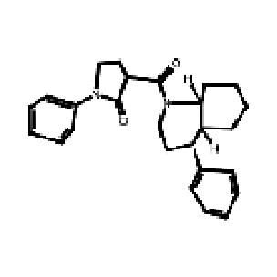 O=C1C(C(=O)N2CC[C@H](c3ccccc3)[C@H]3CCCC[C@H]32)CCN1c1ccccc1